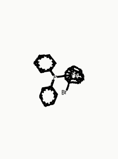 Br[C]12[CH]3[CH]4[CH]5[C]1(P(c1ccccc1)c1ccccc1)[Fe]43521678[CH]2[CH]1[CH]6[CH]7[CH]28